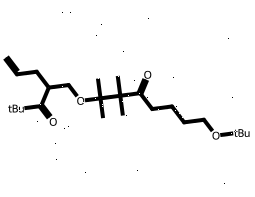 C=CCC(COC(C)(C)C(C)(C)C(=O)CCCCOC(C)(C)C)C(=O)C(C)(C)C